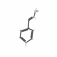 ON=Cc1ccncc1